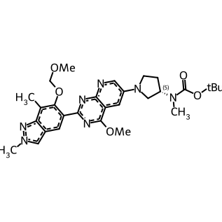 COCOc1c(-c2nc(OC)c3cc(N4CC[C@H](N(C)C(=O)OC(C)(C)C)C4)cnc3n2)cc2cn(C)nc2c1C